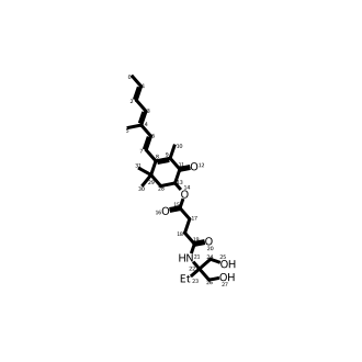 C/C=C/C=C(C)/C=C/C1=C(C)C(=O)C(OC(=O)CCC(=O)NC(CC)(CO)CO)CC1(C)C